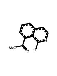 COC(=O)c1cccc2ccnc(Cl)c12